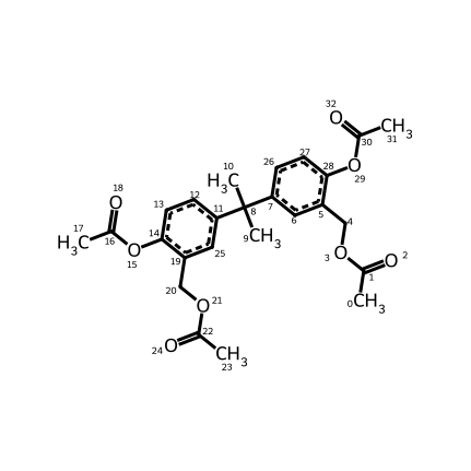 CC(=O)OCc1cc(C(C)(C)c2ccc(OC(C)=O)c(COC(C)=O)c2)ccc1OC(C)=O